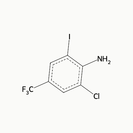 Nc1c(Cl)cc(C(F)(F)F)cc1I